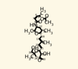 CC(=O)O[C@H](C)/C=C\C(=O)N[C@@H]1C[C@H](C)[C@H](C/C=C(C)/C=C/[C@H]2O[C@](C)(CO)C[C@@]3(CO3)[C@@H]2O)O[C@@H]1C